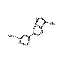 COc1cc(-c2ccc3c(C(C)(C)C)cnn3c2)ccn1